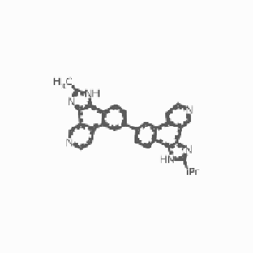 Cc1nc2c3cnccc3c3cc(-c4ccc5c(c4)c4ccncc4c4nc(C(C)C)[nH]c54)ccc3c2[nH]1